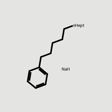 CCCCCCCCCCCCc1ccccc1.[NaH]